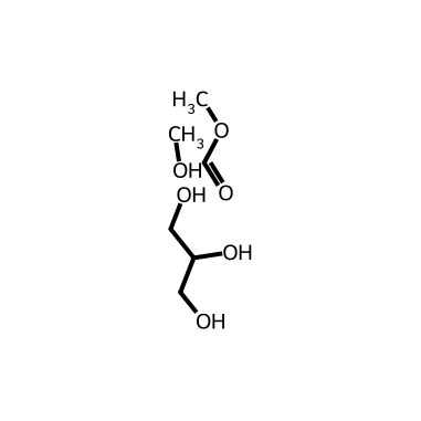 CO.COC=O.OCC(O)CO